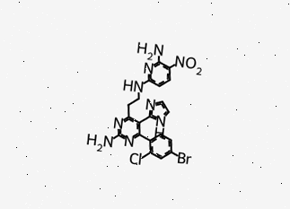 Nc1nc(CCNc2ccc([N+](=O)[O-])c(N)n2)c(-c2ncc[nH]2)c(-c2ccc(Br)cc2Cl)n1